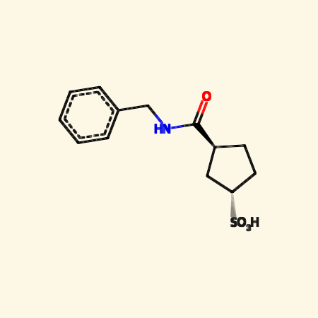 O=C(NCc1ccccc1)[C@H]1CC[C@H](S(=O)(=O)O)C1